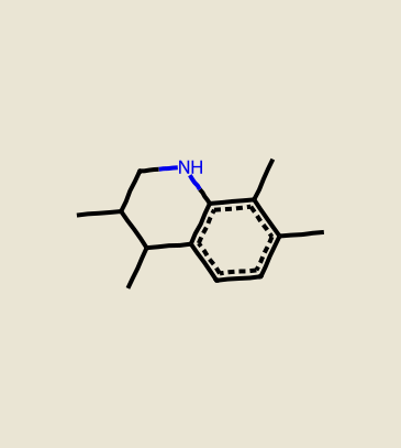 Cc1ccc2c(c1C)NCC(C)C2C